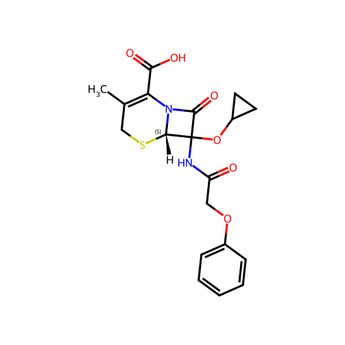 CC1=C(C(=O)O)N2C(=O)C(NC(=O)COc3ccccc3)(OC3CC3)[C@@H]2SC1